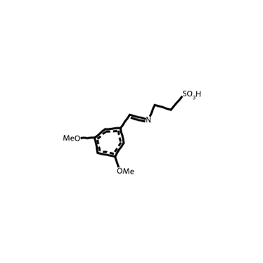 COc1cc(C=NCCS(=O)(=O)O)cc(OC)c1